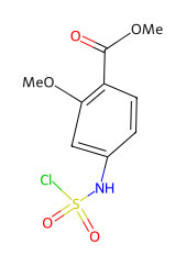 COC(=O)c1ccc(NS(=O)(=O)Cl)cc1OC